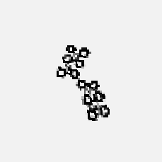 c1ccc([Si](c2ccccc2)(c2ccccc2)c2cccc(-n3c4ccccc4c4cc(-c5ccc6c(c5)c5ccccc5n6-c5cccc([Si](c6ccccc6)(c6ccccc6)c6ccccc6)c5)ccc43)c2)cc1